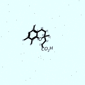 Cc1cc(C)c2c(c1C)OC(C)(CCC(=O)O)CC2